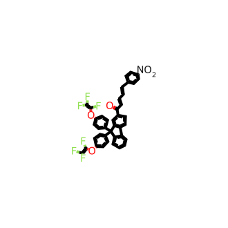 O=C(C=CC=Cc1ccc([N+](=O)[O-])cc1)c1ccc2c(c1)C(c1ccc(OC(F)=C(F)F)cc1)(c1ccc(OC(F)=C(F)F)cc1)c1ccccc1-2